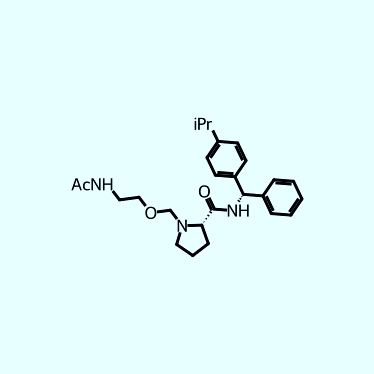 CC(=O)NCCOCN1CCC[C@H]1C(=O)N[C@@H](c1ccccc1)c1ccc(C(C)C)cc1